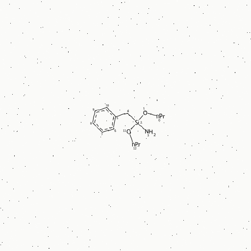 CCCO[Si](N)(Cc1ccccc1)OCCC